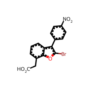 O=C(O)Cc1cccc2c(-c3ccc([N+](=O)[O-])cc3)c(Br)oc12